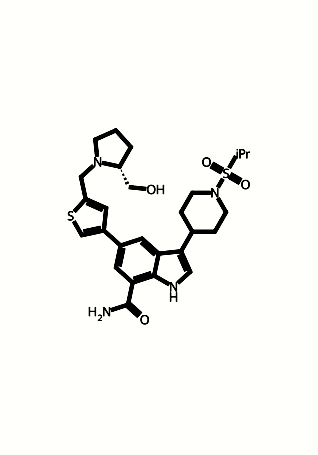 CC(C)S(=O)(=O)N1CCC(c2c[nH]c3c(C(N)=O)cc(-c4csc(CN5CCC[C@@H]5CO)c4)cc23)CC1